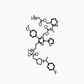 CNCC(=O)OCc1cccnc1N(C)C(=O)OCn1c(-c2cccs2)nc(CCNS(=O)(=O)CC2CCN(C(C)c3ccc(F)cc3)C2)c1-c1ccc(OC)cc1